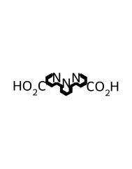 O=C(O)c1ccnc(-c2cccc(-c3cc(C(=O)O)ccn3)n2)c1